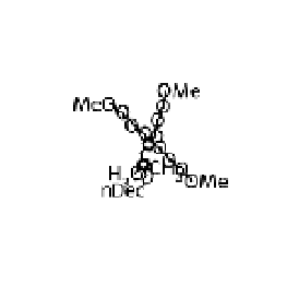 CCCCCCCCCCCCOc1c(C)cc(Cc2cc(OCCOCCOCCOC)c(OCCOCCOCCOC)c(OCCOCCOCCOC)c2)cc1C